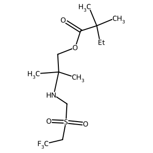 CCC(C)(C)C(=O)OCC(C)(C)NCS(=O)(=O)CC(F)(F)F